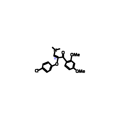 COc1ccc(C(=O)/C(=C\N(C)C)Oc2ccc(Cl)cc2)c(OC)c1